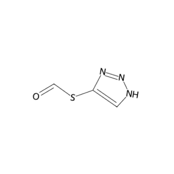 O=CSc1c[nH]nn1